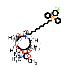 CC[C@H]1OC(=O)[C@H](C)[C@@H](O)C[C@@H](O[C@H]2C[C@@H](N(C)C)C[C@@H](C)O2)[C@](C)(O)C[C@@H](C)CN(C(=O)CCCCCCCCCCC[PH](c2ccccc2)(c2ccccc2)C2CCC(F)(F)CC2)[C@H](C)C[C@]1(C)O